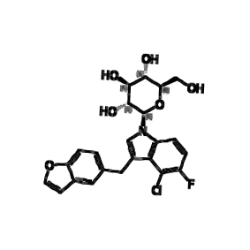 OC[C@H]1O[C@@H](n2cc(Cc3ccc4occc4c3)c3c(Cl)c(F)ccc32)[C@H](O)[C@@H](O)[C@@H]1O